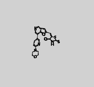 O=C1NC(=S)SC1=Cc1cc2cncc(-c3ccc(N4CCOCC4)nc3)c2o1